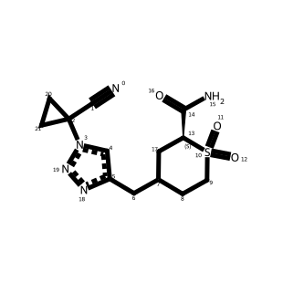 N#CC1(n2cc([CH]C3CCS(=O)(=O)[C@H](C(N)=O)C3)nn2)CC1